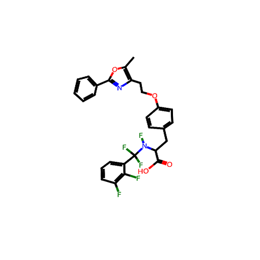 Cc1oc(-c2ccccc2)nc1CCOc1ccc(CC(C(=O)O)N(F)C(F)(F)c2cccc(F)c2F)cc1